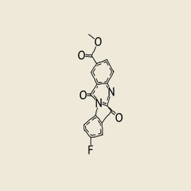 COC(=O)c1ccc2nc3n(c(=O)c2c1)-c1ccc(F)cc1C3=O